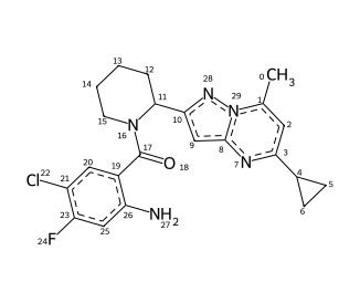 Cc1cc(C2CC2)nc2cc(C3CCCCN3C(=O)c3cc(Cl)c(F)cc3N)nn12